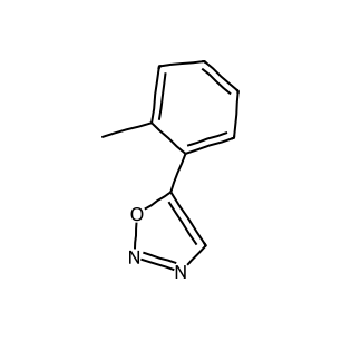 Cc1ccccc1-c1cnno1